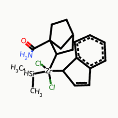 C[SiH](C)[Zr]([Cl])([Cl])([CH]1C=Cc2ccccc21)[CH]1CC2CCC1(C(N)=O)C2